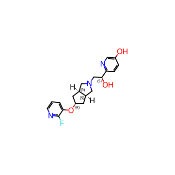 Oc1ccc([C@@H](O)CN2C[C@H]3C[C@@H](Oc4cccnc4F)C[C@H]3C2)nc1